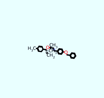 C=C=C(OC(C)(C)/C=C/c1ccc(OCc2ccccc2)cc1)C1C=CC(C)=CC1